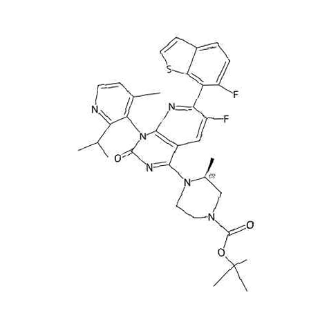 Cc1ccnc(C(C)C)c1-n1c(=O)nc(N2CCN(C(=O)OC(C)(C)C)C[C@@H]2C)c2cc(F)c(-c3c(F)ccc4ccsc34)nc21